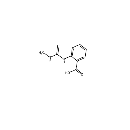 CNC(=O)Nc1ccccc1C(=O)O